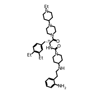 CCc1ccc(C[C@@H](NC(=O)N2CCC(NCCc3ccccc3N)CC2)C(=O)N2CCN(C3CCN(CC)CC3)CC2)cc1CC